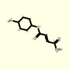 CCCC1CCC(OC(=O)/C=C/C(=O)OCC(C)C)CC1